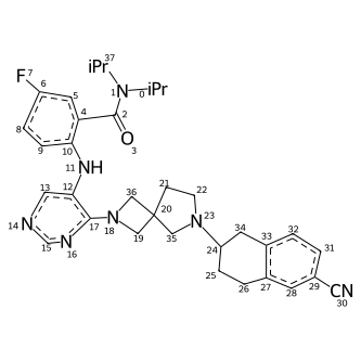 CC(C)N(C(=O)c1cc(F)ccc1Nc1cncnc1N1CC2(CCN(C3CCc4cc(C#N)ccc4C3)C2)C1)C(C)C